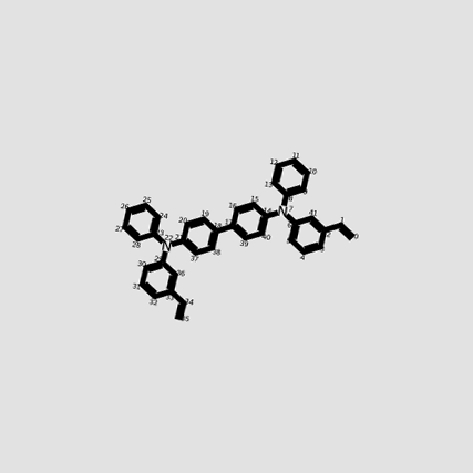 C=Cc1cccc(N(c2ccccc2)c2ccc(-c3ccc(N(c4ccccc4)c4cccc(C=C)c4)cc3)cc2)c1